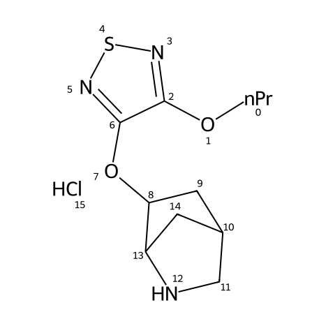 CCCOc1nsnc1OC1CC2CNC1C2.Cl